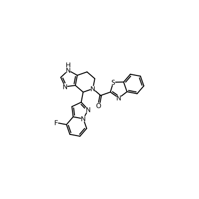 O=C(c1nc2ccccc2s1)N1CCc2[nH]cnc2C1c1cc2c(F)cccn2n1